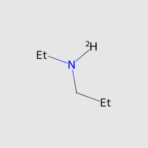 [2H]N(CC)CCC